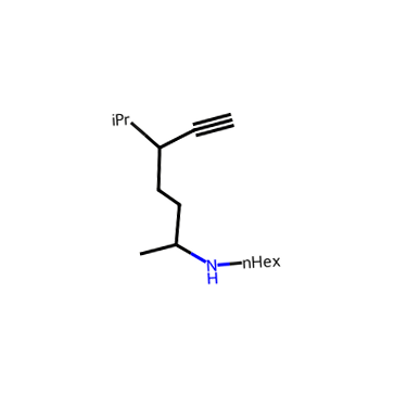 C#CC(CCC(C)NCCCCCC)C(C)C